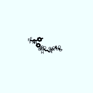 COC(=O)OC(C)ON=[N+]([O-])N(C)CCCC(=O)NS(=O)(=O)c1ccc(-n2nc(C(F)(F)F)cc2-c2ccc(C)cc2)cc1